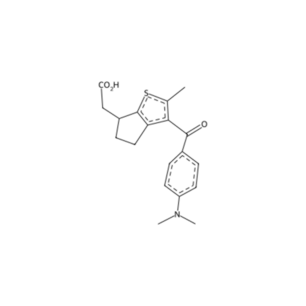 Cc1sc2c(c1C(=O)c1ccc(N(C)C)cc1)CCC2CC(=O)O